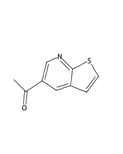 CC(=O)c1cnc2sccc2c1